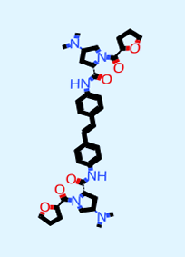 CN(C)[C@H]1C[C@@H](C(=O)Nc2ccc(/C=C/c3ccc(NC(=O)[C@@H]4C[C@H](N(C)C)CN4C(=O)[C@H]4CCCO4)cc3)cc2)N(C(=O)[C@H]2CCCO2)C1